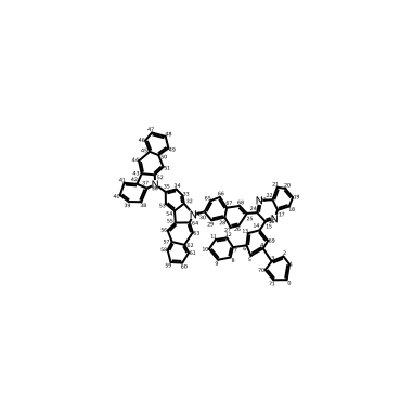 c1ccc(-c2cc(-c3ccccc3)cc(-c3nc4ccccc4nc3-c3ccc4cc(-n5c6ccc(-n7c8ccccc8c8cc9ccccc9cc87)cc6c6cc7ccccc7cc65)ccc4c3)c2)cc1